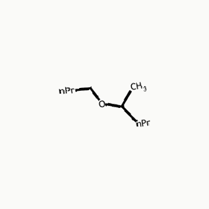 CCCCOC(C)CCC